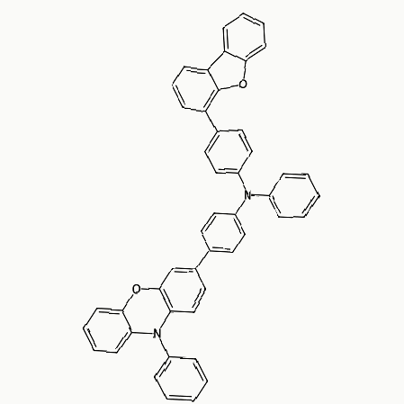 c1ccc(N(c2ccc(-c3ccc4c(c3)Oc3ccccc3N4c3ccccc3)cc2)c2ccc(-c3cccc4c3oc3ccccc34)cc2)cc1